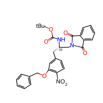 CC(C)(C)OC(=O)N[C@@H](Cc1ccc([N+](=O)[O-])c(OCc2ccccc2)c1)CN1C(=O)c2ccccc2C1=O